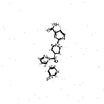 NC(=O)c1ccnc(N2CCC(C(=O)N3N=CC[C@H]3c3cncc(F)c3)CC2)n1